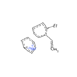 C=Cc1ccccc1CC.c1cc2ccc1[nH]2